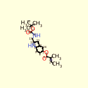 C/C=C(\C)C(=O)Oc1ccc2[nH]c(CNC(=O)OC(C)(C)C)cc2c1